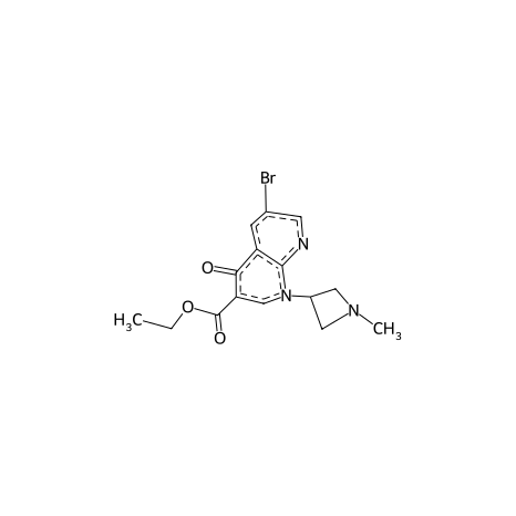 CCOC(=O)c1cn(C2CN(C)C2)c2ncc(Br)cc2c1=O